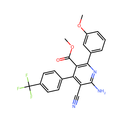 COC(=O)c1c(-c2cccc(OC)c2)nc(N)c(C#N)c1-c1ccc(C(F)(F)F)cc1